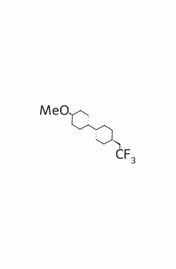 CO[C@H]1CC[C@H]([C@H]2CC[C@H](CC(F)(F)F)CC2)CC1